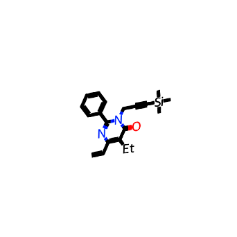 C=Cc1nc(-c2ccccc2)n(CC#C[Si](C)(C)C)c(=O)c1CC